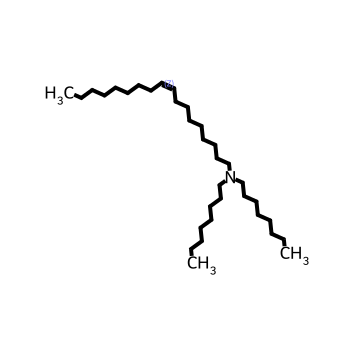 CCCCCCCC/C=C\CCCCCCCCN(CCCCCCCC)CCCCCCCC